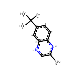 CCC(C)(C)c1ccc2nc(C(C)(C)C)cnc2c1